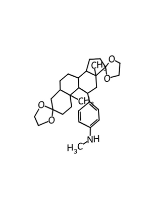 CNc1ccc(C2CC3(C)C(CCC34OCCO4)C3CCC4CC5(CCC4(C)C23)OCCO5)cc1